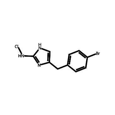 ClNc1nc(Cc2ccc(Br)cc2)c[nH]1